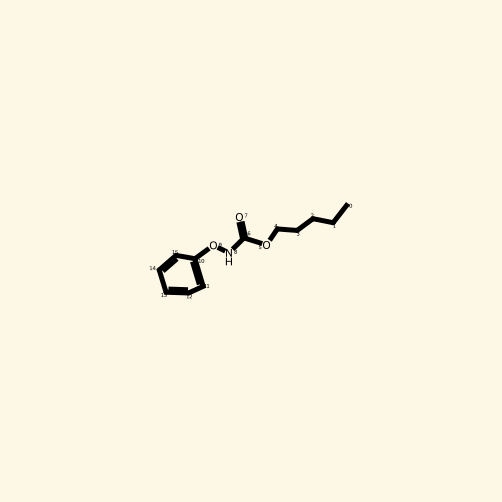 CCCCCOC(=O)NOc1ccccc1